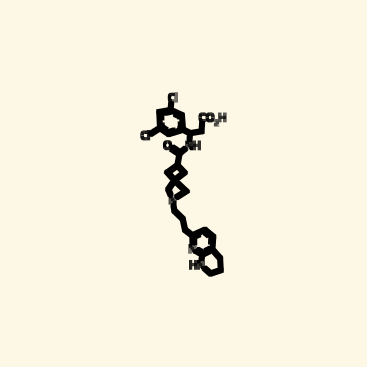 O=C(O)CC(NC(=O)C1CC2(C1)CN(CCCc1ccc3c(n1)NCCC3)C2)c1cc(Cl)cc(Cl)c1